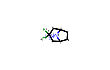 NN1C2CCC1CC(F)(F)C2